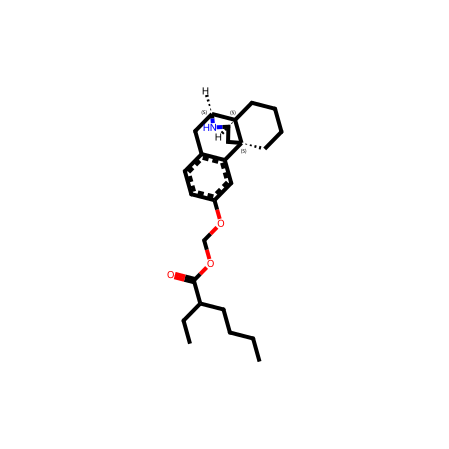 CCCCC(CC)C(=O)OCOc1ccc2c(c1)[C@]13CCCC[C@@H]1[C@H](C2)NCC3